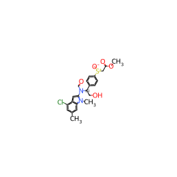 COC(=O)C[S+]([O-])c1ccc([C@@H](CO)N(C=O)c2cc3c(Cl)cc(C)cc3n2C)cc1